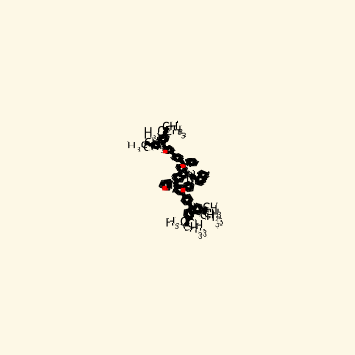 CC(C)(C)c1ccc2c(c1)c1cc(C(C)(C)C)ccc1n2-c1ccc(-c2ccc(N(c3ccccc3)c3ccc4c5ccc(N(c6ccccc6)c6ccc(-c7ccc(-n8c9ccc(C(C)(C)C)cc9c9cc(C(C)(C)C)ccc98)cc7)cc6)cc5c5c(nc(-c6cccc7ccccc67)n5-c5ccccc5)c4c3)cc2)cc1